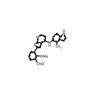 COc1c(C=O)cccc1-c1cc2c(Nc3ccc4[nH]ccc4c3C)ccnc2s1